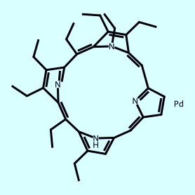 CCC1=C(CC)c2nc1c(CC)c1[nH]c(cc3nc(cc4c(CC)c(CC)c(c2CC)n4CC)C=C3)cc1CC.[Pd]